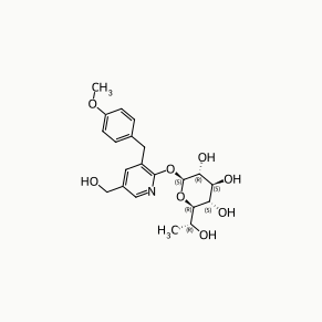 COc1ccc(Cc2cc(CO)cnc2O[C@@H]2O[C@H]([C@@H](C)O)[C@@H](O)[C@H](O)[C@H]2O)cc1